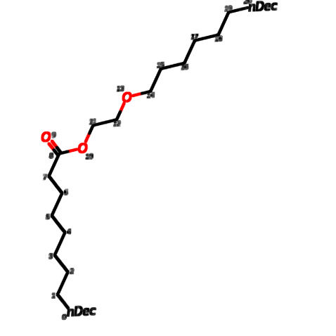 CCCCCCCCCCCCCCCCCC(=O)OCCOCCCCCCCCCCCCCCCC